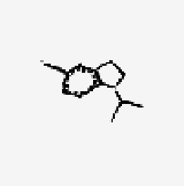 CC(C)N1CCc2cc(F)ccc21